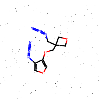 [N-]=[N+]=NCC1(COc2cocc2N=[N+]=[N-])COC1